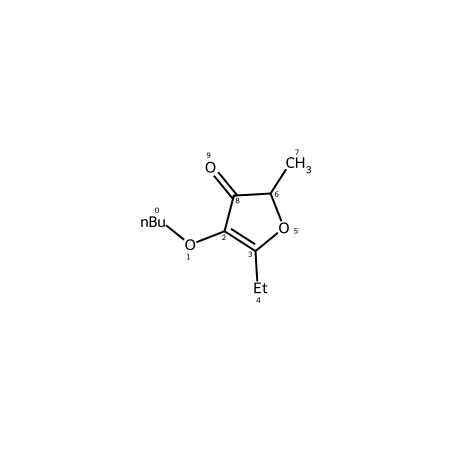 CCCCOC1=C(CC)OC(C)C1=O